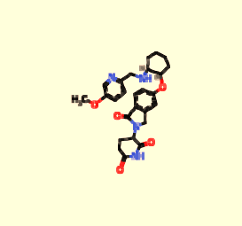 COc1ccc(CN[C@H]2CCCC[C@H]2Oc2ccc3c(c2)CN(C2CCC(=O)NC2=O)C3=O)nc1